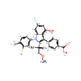 COCC(C)(C)c1c(-c2ccc(C(=O)O)cc2)c2c(O)cc(F)cc2n1-c1ccc(C)c(F)c1